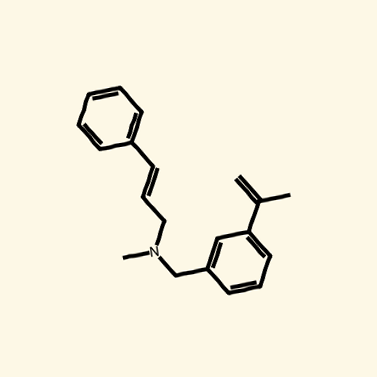 C=C(C)c1cccc(CN(C)C/C=C/c2ccccc2)c1